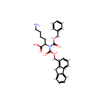 NCCCCC(C(=O)O)N(C(=O)OCc1ccccc1)C(=O)OCc1cccc2c1Cc1ccccc1-2